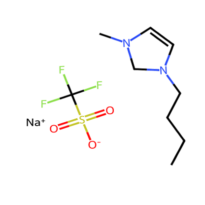 CCCCN1C=CN(C)C1.O=S(=O)([O-])C(F)(F)F.[Na+]